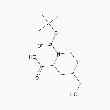 CC(C)(C)OC(=O)N1CCC(CO)CC1C(=O)O